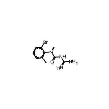 Cc1cccc(Br)c1N(C)C(=O)NC(=N)N